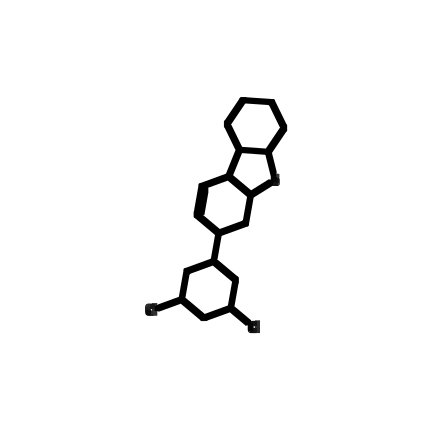 ClC1CC(Cl)CC(C2C=CC3C(C2)SC2CCCCC23)C1